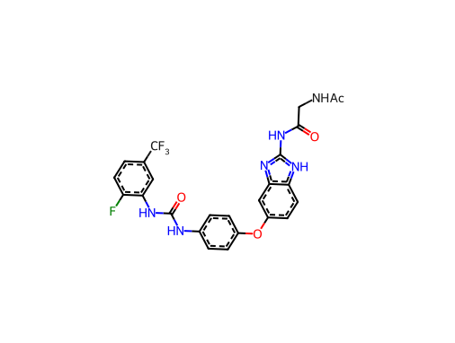 CC(=O)NCC(=O)Nc1nc2cc(Oc3ccc(NC(=O)Nc4cc(C(F)(F)F)ccc4F)cc3)ccc2[nH]1